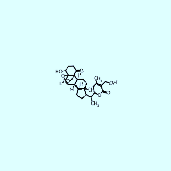 CC1=C(CO)C(=O)O[C@@H]([C@@H](C)[C@H]2CC[C@H]3[C@@H]4C[C@H]5O[C@]56[C@@H](O)CCC(=O)[C@]6(CO)[C@H]4CC[C@]23C)C1